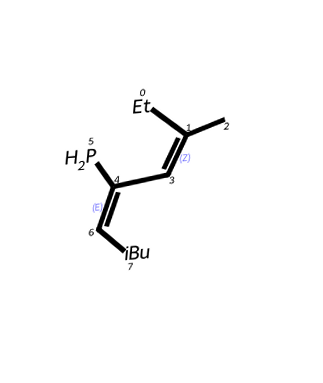 CC/C(C)=C\C(P)=C/C(C)CC